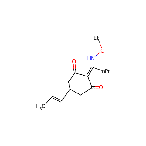 CC=CC1CC(=O)C(=C(CCC)NOCC)C(=O)C1